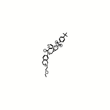 CCOCCN1CCc2ccc(N(CC3C4CN(S(=O)(=O)c5ccc(C(C)(C)C)cc5)CC34)C(=O)c3cccs3)cc2C1